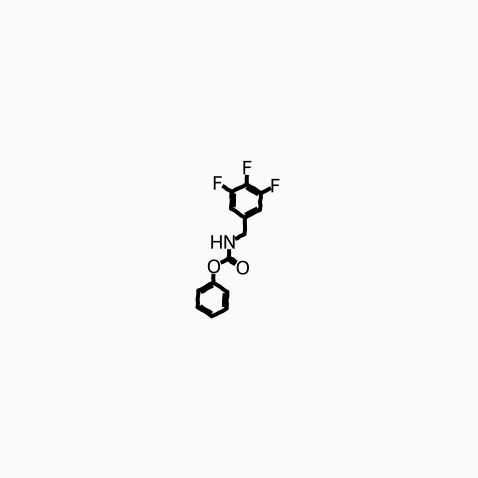 O=C(NCc1cc(F)c(F)c(F)c1)Oc1ccccc1